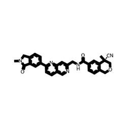 CN1Cc2ccc(-c3ccc4cnc(CNC(=O)c5ccc6c(c5)[C@](C)(C#N)COC6)cc4n3)cc2C1=O